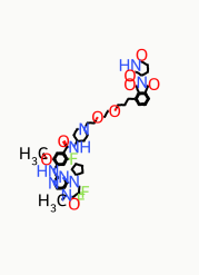 COc1cc(C(=O)NC2CCN(CCOCCOCCCc3cccc4c3C(=O)N(C3CCC(=O)NC3=O)C4=O)CC2)c(F)cc1Nc1ncc2c(n1)N(C1CCCC1)CC(F)(F)C(=O)N2C